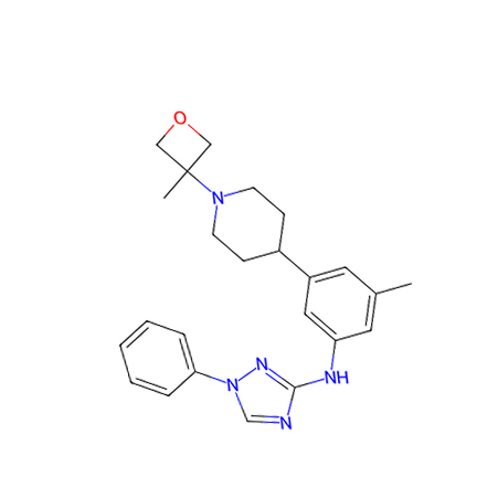 Cc1cc(Nc2ncn(-c3ccccc3)n2)cc(C2CCN(C3(C)COC3)CC2)c1